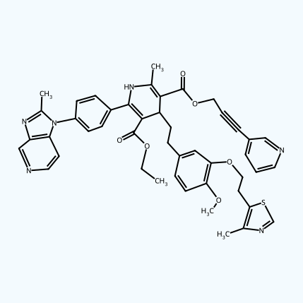 CCOC(=O)C1=C(c2ccc(-n3c(C)nc4cnccc43)cc2)NC(C)=C(C(=O)OCC#Cc2cccnc2)C1CCc1ccc(OC)c(OCCc2scnc2C)c1